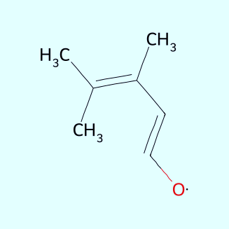 CC(C)=C(C)/C=C/[O]